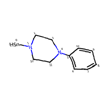 [SnH][N]1CCN(c2ccccc2)CC1